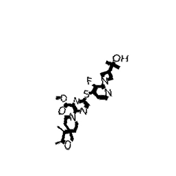 COC(=O)c1nc(Sc2ccnc(N3CC(C(C)(C)O)C3)c2F)cnc1N1CCC2(CC1)CO[C@@H](C)[C@H]2C